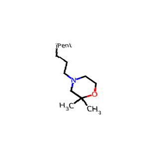 CCCC(C)CCCN1CCOC(C)(C)C1